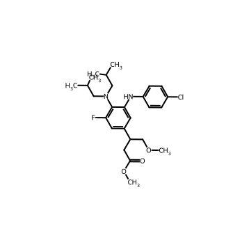 COCC(CC(=O)OC)c1cc(F)c(N(CC(C)C)CC(C)C)c(Nc2ccc(Cl)cc2)c1